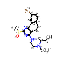 C[S+]([O-])c1nc2c(c(N3CCN(C(=O)O)C(CC#N)C3)n1)CCc1ccc(Br)cc1-2